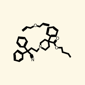 C=CCOCC=C.CCCCOC(=O)C1(c2ccccc2)CCN(CCC(C#N)(c2ccccc2)c2ccccc2)CC1